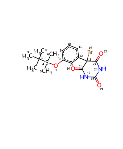 CC(C)(C)[Si](C)(C)Oc1cccc(C2(Br)C(=O)NC(=O)NC2=O)c1